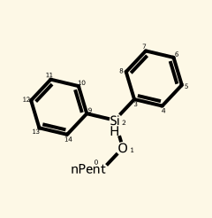 CCCCCO[SiH](c1ccccc1)c1ccccc1